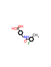 Cc1ccc(F)c(C(=O)NCc2ccc(B(O)O)cc2)c1